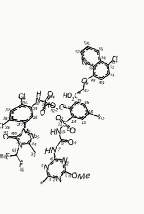 COc1nc(C)nc(NC(=O)NS(=O)(=O)c2cc(I)ccc2C(=O)O)n1.Cc1nn(-c2cc(NS(C)(=O)=O)c(Cl)cc2Cl)c(=O)n1C(F)F.O=C(O)COc1ccc(Cl)c2cccnc12